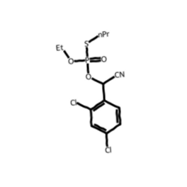 CCCSP(=O)(OCC)OC(C#N)c1ccc(Cl)cc1Cl